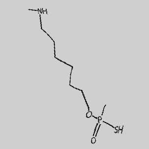 CNCCCCCCOP(C)(=O)S